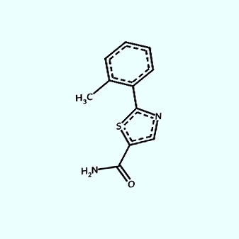 Cc1ccccc1-c1ncc(C(N)=O)s1